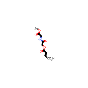 CC(C)(C)OC(=O)CNC(=O)COC(=O)C=CC(=O)O